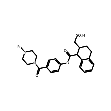 CC(C)N1CCN(C(=O)c2ccc(OC(=O)C3c4ccccc4CCC3CS(=O)(=O)O)cc2)CC1